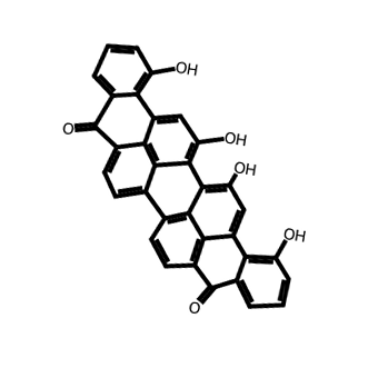 O=C1c2cccc(O)c2-c2cc(O)c3c4c(O)cc5c6c(ccc(c7ccc1c2c73)c64)C(=O)c1cccc(O)c1-5